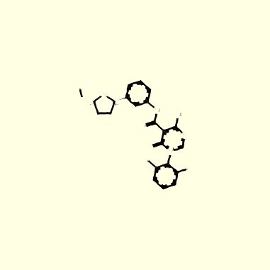 Nc1ncn(-c2c(Cl)cccc2Cl)c(=O)c1C(=O)Nc1cccc([C@H]2CC[C@H](CO)N2)c1